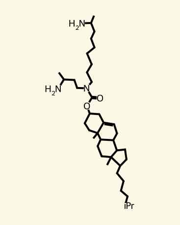 CC(C)CCCCC1CCC2C3CC=C4CC(OC(=O)N(CCCCCCCC(C)N)CCC(C)N)CCC4(C)C3CCC12C